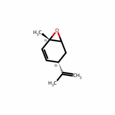 C=C(C)[C@@H]1C=C[C@]2(C)OC2C1